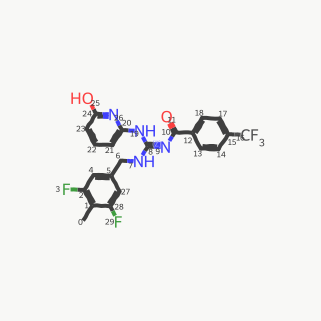 Cc1c(F)cc(CN/C(=N/C(=O)c2ccc(C(F)(F)F)cc2)Nc2cccc(O)n2)cc1F